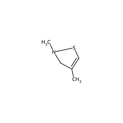 CC1=CSN(C)C1